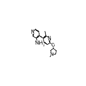 Cc1nc(OC2CCN(C)C2)ccc1-c1ccncc1N